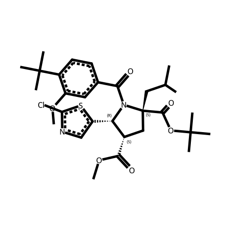 COC(=O)[C@H]1C[C@@](CC(C)C)(C(=O)OC(C)(C)C)N(C(=O)c2ccc(C(C)(C)C)c(OC)c2)[C@H]1c1cnc(Cl)s1